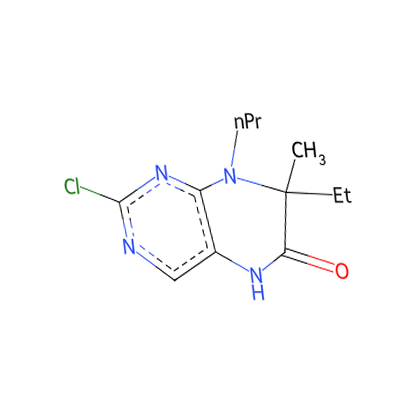 CCCN1c2nc(Cl)ncc2NC(=O)C1(C)CC